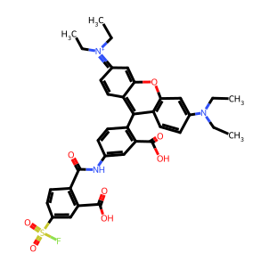 CCN(CC)c1ccc2c(-c3ccc(NC(=O)c4ccc(S(=O)(=O)F)cc4C(=O)O)cc3C(=O)O)c3ccc(=[N+](CC)CC)cc-3oc2c1